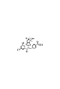 CC(O)(c1cnc(N(Cc2ccc(C(=O)O)cc2)C(=O)c2cc(Cl)cc(Cl)c2)s1)C(F)(F)F